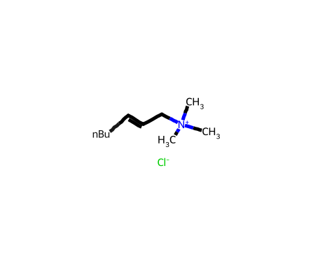 CCCCC=CC[N+](C)(C)C.[Cl-]